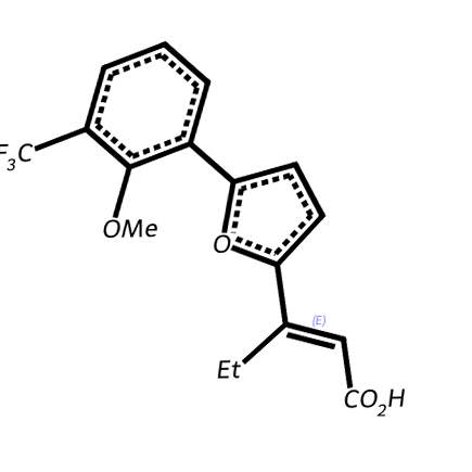 CC/C(=C\C(=O)O)c1ccc(-c2cccc(C(F)(F)F)c2OC)o1